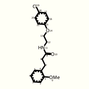 COc1ccccc1CCC(=O)NCCOc1ccc(Cl)cc1